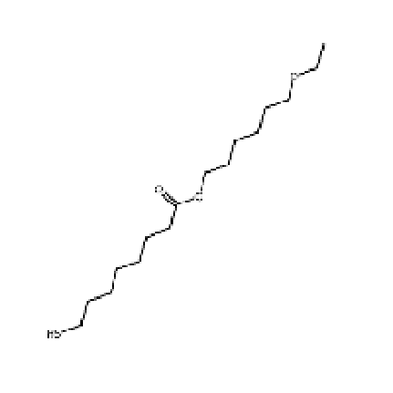 CCOCCCCCCOC(=O)CCCCCCCS